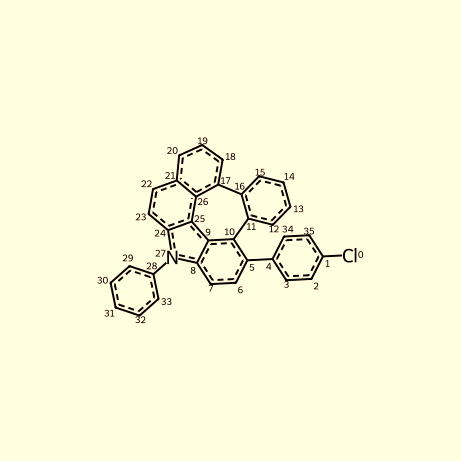 Clc1ccc(-c2ccc3c4c2-c2ccccc2-c2cccc5ccc(c4c25)n3-c2ccccc2)cc1